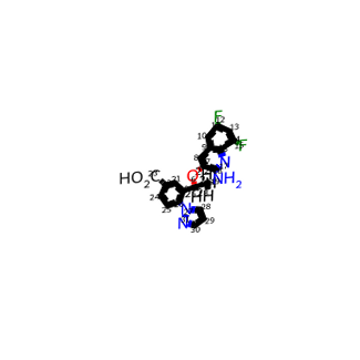 [2H]C([2H])([2H])C([2H])(Oc1cc2cc(F)cc(F)c2nc1N)c1cc(C(=O)O)ccc1-n1cccn1